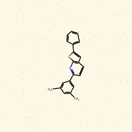 Cc1cc(C)cc(-c2ccc3cc(-c4ccccc4)sc3n2)c1